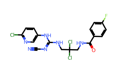 N#CN=C(NCC(Cl)(Cl)CNC(=O)c1ccc(F)cc1)Nc1ccc(Cl)nc1